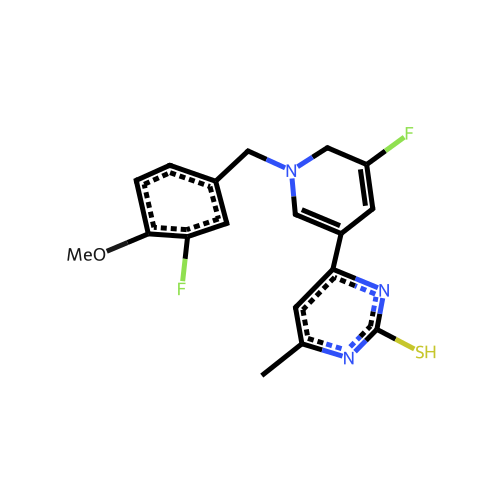 COc1ccc(CN2C=C(c3cc(C)nc(S)n3)C=C(F)C2)cc1F